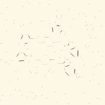 Nc1ccc2c(CCC3CCN(CCc4ccccc4)CC3)noc2c1.Nc1ccc2c(CCC3CCN(CCc4ccccc4)CC3)noc2c1.O=C(O)/C=C\C(=O)O